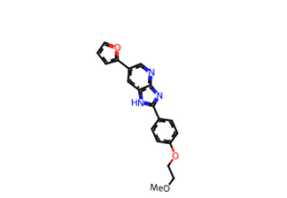 COCCOc1ccc(-c2nc3ncc(-c4ccco4)cc3[nH]2)cc1